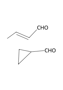 C/C=C/C=O.O=CC1CC1